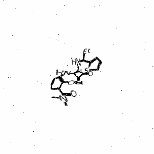 CCC(Nc1c(Nc2cccc(C(=O)N(C)C)c2O)c(=O)c1=O)C1=CC=C[SiH2]1